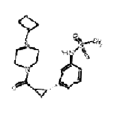 CS(=O)(=O)Nc1cccc([C@@H]2C[C@H]2C(=O)N2CCN(C3CCC3)CC2)c1